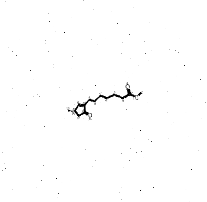 COC(=O)CCCCCCC1=C[C@H](C)CC1=O